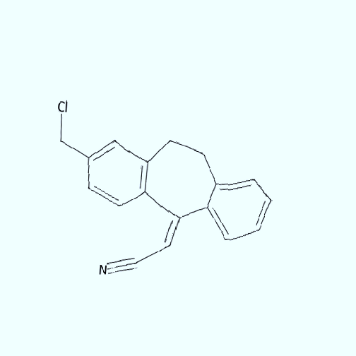 N#CC=C1c2ccccc2CCc2cc(CCl)ccc21